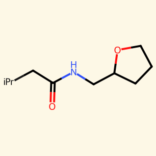 CC(C)CC(=O)NCC1CCCO1